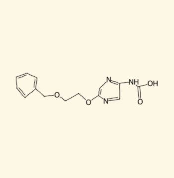 O=C(O)Nc1cnc(OCCOCc2ccccc2)cn1